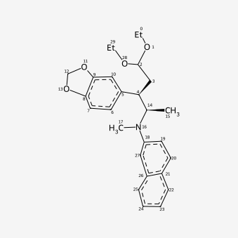 CCOC(C[C@H](c1ccc2c(c1)OCO2)[C@@H](C)N(C)c1ccc2ccccc2c1)OCC